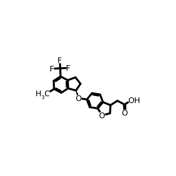 Cc1cc2c(c(C(F)(F)F)c1)CC[C@H]2Oc1ccc2c(c1)OCC2CC(=O)O